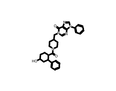 O=C(C1CCC(O)CC1c1ccccc1)N1CCC(Cn2cnc3c(ncn3-c3ccccc3)c2=O)CC1